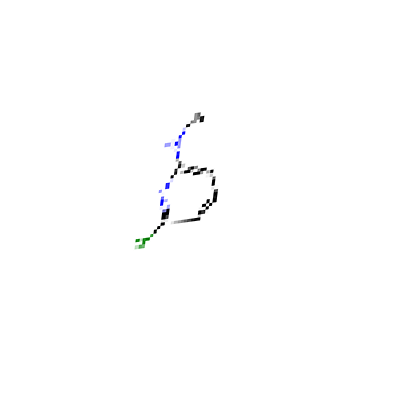 CC(C)Nc1cccc(Cl)n1